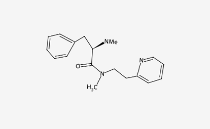 CN[C@H](Cc1ccccc1)C(=O)N(C)CCc1ccccn1